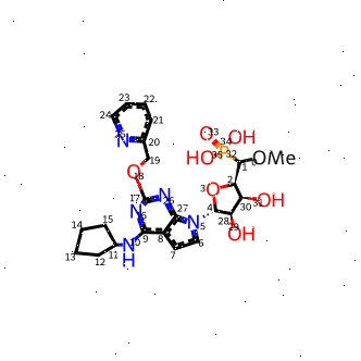 COC([C@@H]1O[C@@H](n2ccc3c(NC4CCCC4)nc(OCc4ccccn4)nc32)[C@H](O)[C@@H]1O)P(=O)(O)O